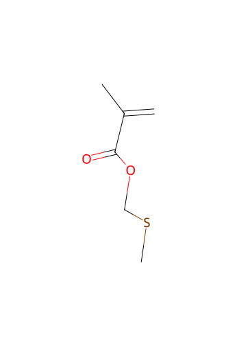 C=C(C)C(=O)OCSC